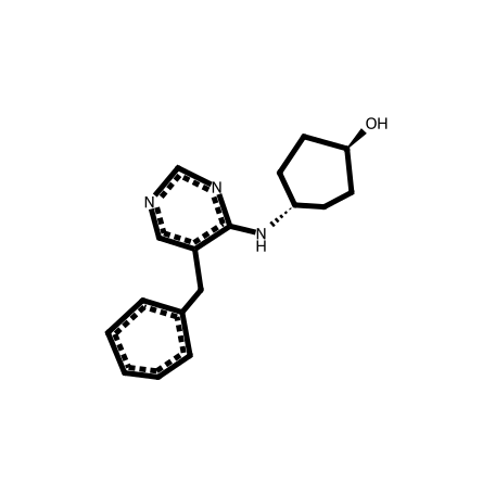 O[C@H]1CC[C@H](Nc2ncncc2Cc2ccccc2)CC1